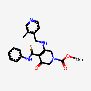 Cc1cnccc1CNC1=C(C(=S)Nc2ccccc2)C(=O)CN(C(=O)OC(C)(C)C)C1